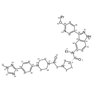 CCN(C(=O)[C@@H]1CCN(CC(=O)N2CCN(c3ccc(-c4ncn(C)n4)cc3)CC2)C1)c1ccc2[nH]nc(-c3ccc(OC(C)C)nc3)c2c1